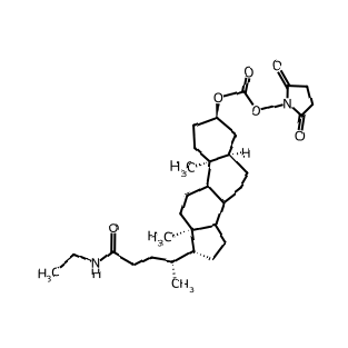 CCNC(=O)CC[C@@H](C)[C@H]1CCC2C3CC[C@@H]4C[C@H](OC(=O)ON5C(=O)CCC5=O)CC[C@]4(C)C3CC[C@@]21C